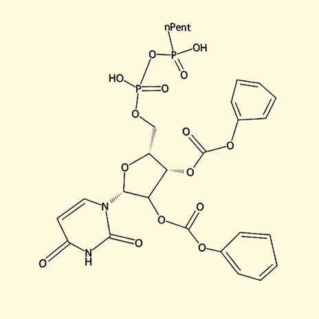 CCCCCP(=O)(O)OP(=O)(O)OC[C@H]1O[C@@H](n2ccc(=O)[nH]c2=O)C(OC(=O)Oc2ccccc2)[C@H]1OC(=O)Oc1ccccc1